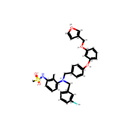 Cc1c(NS(C)(=O)=O)cccc1N(Cc1ccc(Oc2cccc(OCc3ccoc3)c2)cc1)Cc1cccc(F)c1